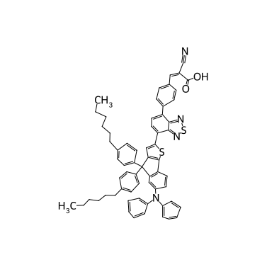 CCCCCCc1ccc(C2(c3ccc(CCCCCC)cc3)c3cc(N(c4ccccc4)c4ccccc4)ccc3-c3sc(-c4ccc(-c5ccc(C=C(C#N)C(=O)O)cc5)c5nsnc45)cc32)cc1